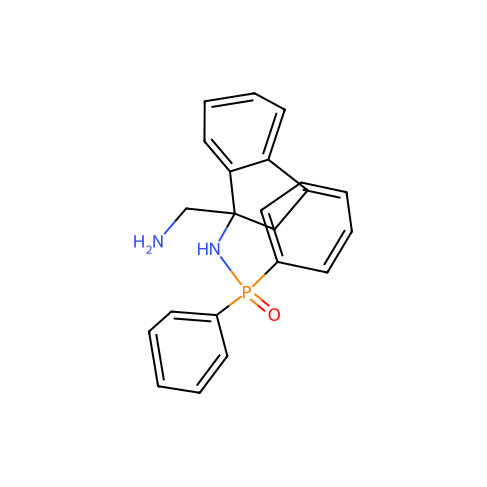 NCC1(NP(=O)(c2ccccc2)c2ccccc2)CCc2ccccc21